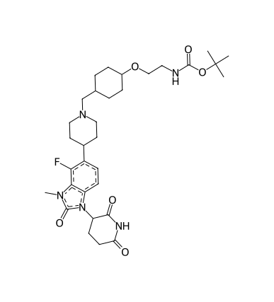 Cn1c(=O)n(C2CCC(=O)NC2=O)c2ccc(C3CCN(CC4CCC(OCCNC(=O)OC(C)(C)C)CC4)CC3)c(F)c21